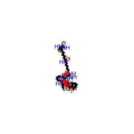 CCCC(NC(=O)CCCCCNC(=O)CCCCC1SCC2NC(=O)NC21)C(=O)N[C@@H](Cc1ccco1)C(=O)N1CCCC[C@@H]1C(=O)N[C@@H](CC(=O)O)C(=O)COC(=O)c1c(C)cccc1C